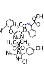 CO/C=C(/C(=O)OC)c1ccccc1Oc1cc(Oc2ccccc2C#N)ncn1.Cc1ccc(-c2c(Cl)nc(C#N)n2S(=O)(=O)N(C)C)cc1